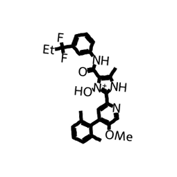 CCC(F)(F)c1cccc(NC(=O)c2c(C)[nH]c(-c3cc(-c4c(C)cccc4C)c(OC)cn3)[n+]2O)c1